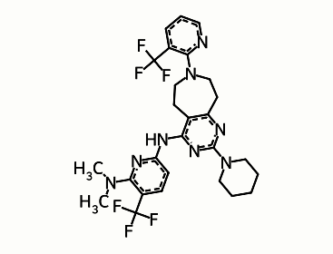 CN(C)c1nc(Nc2nc(N3CCCCC3)nc3c2CCN(c2ncccc2C(F)(F)F)CC3)ccc1C(F)(F)F